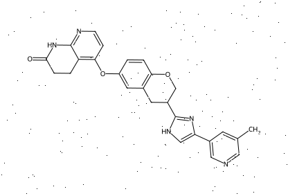 Cc1cncc(-c2c[nH]c(C3COc4ccc(Oc5ccnc6c5CCC(=O)N6)cc4C3)n2)c1